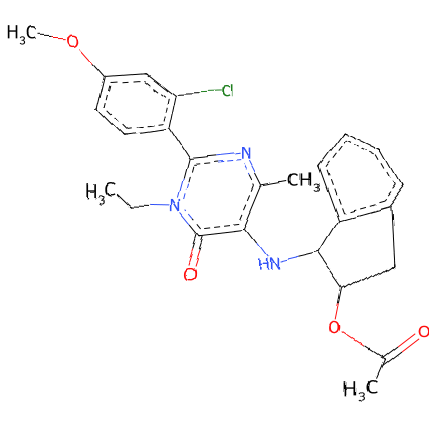 CCn1c(-c2ccc(OC)cc2Cl)nc(C)c(NC2c3ccccc3CC2OC(C)=O)c1=O